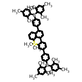 Cc1cc(C)c(B(c2ccc(-c3ccc4c(c3)S(C)(C)c3cccc5c(-c6ccc(B(c7c(C)cc(C)cc7C)c7c(C)cc(C)cc7C)cc6)ccc-4c35)cc2)c2c(C)cc(C)cc2C)c(C)c1